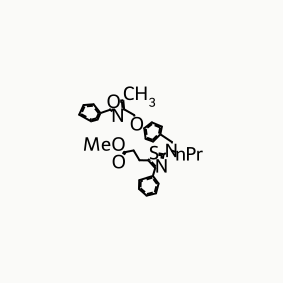 CCCN(Cc1ccc(OCc2nc(-c3ccccc3)oc2C)cc1)c1nc(-c2ccccc2)c(CCC(=O)OC)s1